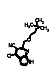 C[Si](C)(C)CCOCc1nc2[nH]ccc2c(Cl)c1C#N